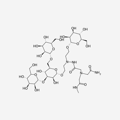 CNC(=O)CN(CC(N)=O)CC(=O)NN(CCO[C@H]1O[C@H](CO)[C@@H](O)[C@H](O)[C@@H]1O)CCO[C@H]1O[C@H](CO[C@H]2O[C@H](CO)[C@@H](O)[C@H](O)[C@@H]2O)[C@@H](O)[C@H](O[C@H]2OC(CO)[C@@H](O)[C@H](O)[C@@H]2O)[C@@H]1O